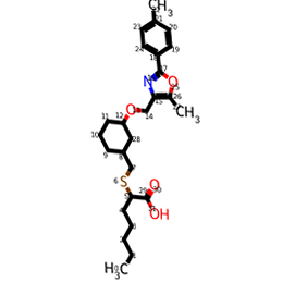 CCCCCC(SCC1CCCC(OCc2nc(-c3ccc(C)cc3)oc2C)C1)C(=O)O